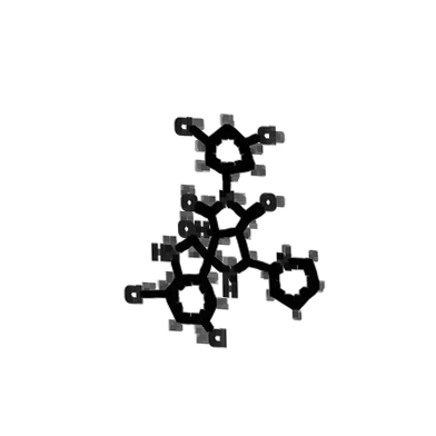 O=C1C2C(c3ccccn3)NC3(C(=O)Nc4c(Cl)cc(Cl)cc43)[C@@H]2C(=O)N1c1cc(Cl)cc(Cl)c1